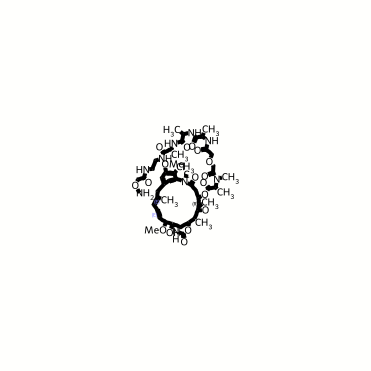 COc1cc2cc(c1Cl)N(C)C(=O)CC(OC(=O)C(C)N(C)C(=O)COCC(=O)NC(C)C(=O)NC(C)C(=O)NC(C)C(=O)NCCNC(=O)CON)[C@@]1(C)OC1C(C)C1CC(O)(NC(=O)O1)C(OC)/C=C/C=C(\C)C2